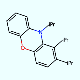 CC(C)c1ccc2c(c1C(C)C)N(C(C)C)c1ccccc1O2